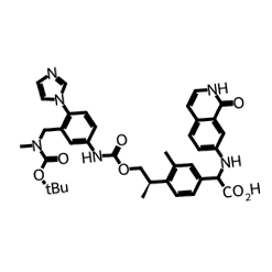 Cc1cc(C(Nc2ccc3cc[nH]c(=O)c3c2)C(=O)O)ccc1[C@@H](C)COC(=O)Nc1ccc(-n2ccnc2)c(CN(C)C(=O)OC(C)(C)C)c1